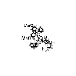 COc1ccc(C(OCC2OC(n3ccc(NC4OC4C)nc3=O)CC2O[P@]2OC[C@H]3CCCN32)(c2ccccc2)c2ccc(OC)cc2)cc1